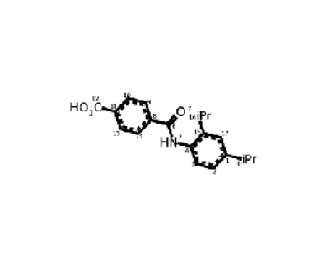 CC(C)c1ccc(NC(=O)c2ccc(C(=O)O)cc2)c(C(C)C)c1